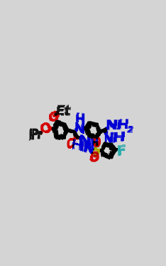 CCOc1cc(C(Nc2ccc(C(=N)N)cc2)C(=O)NNS(=O)(=O)c2ccc(F)cc2)ccc1OC(C)C